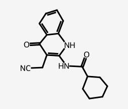 N#CCc1c(NC(=O)C2CCCCC2)[nH]c2ccccc2c1=O